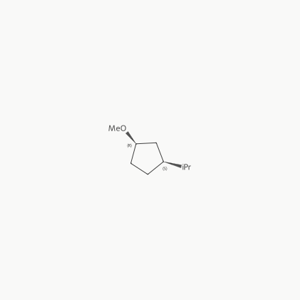 CO[C@@H]1CC[C@H](C(C)C)C1